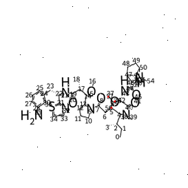 CC[C@H](C)C([C@@H](CC(=O)N1CCC[C@H]1[C@H](OC)[C@@H](C)C(=O)N[C@@H](Cc1cccc(N)c1)c1nccs1)OC)N(C)C(=O)[C@@H](NC(=O)[C@@H]1C2CCC([C@H]2C)N1C)C(C)C